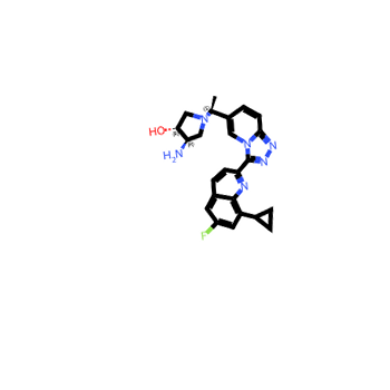 C[C@@H](c1ccc2nnc(-c3ccc4cc(F)cc(C5CC5)c4n3)n2c1)N1C[C@@H](N)[C@H](O)C1